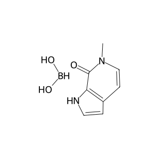 Cn1ccc2cc[nH]c2c1=O.OBO